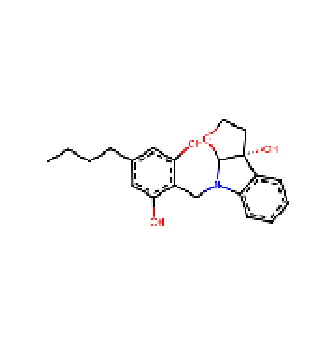 CCCCc1cc(O)c(CN2c3ccccc3[C@]3(O)CCOC23)c(O)c1